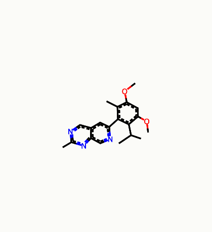 COc1cc(OC)c(C(C)C)c(-c2cc3cnc(C)nc3cn2)c1C